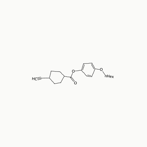 C#CC1CCC(C(=O)Oc2ccc(OCCCCCC)cc2)CC1